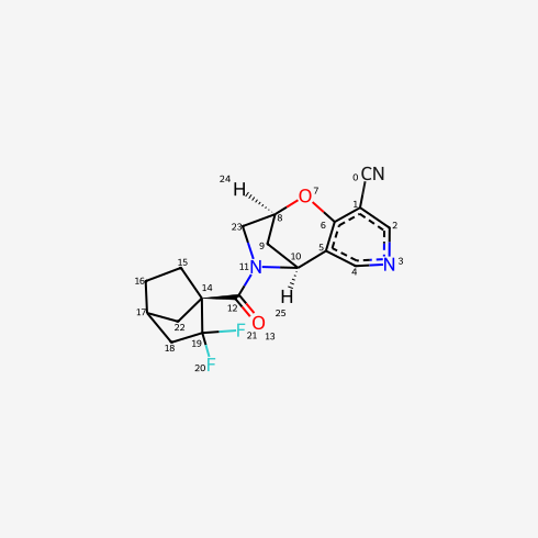 N#Cc1cncc2c1O[C@H]1C[C@@H]2N(C(=O)[C@@]23CCC(CC2(F)F)C3)C1